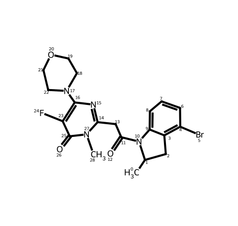 CC1Cc2c(Br)cccc2N1C(=O)Cc1nc(N2CCOCC2)c(F)c(=O)n1C